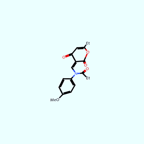 CCC(=O)N(C=C1C(=O)C=C(CC)OC1=O)c1ccc(OC)cc1